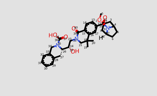 CO[C@H]1CC2CC[C@@H](C1)N2C(=O)c1ccc2c(c1)C(C)(C)CN(C[C@H](O)[C@@H]1Cc3ccccc3CN1C(=O)O)C2=O